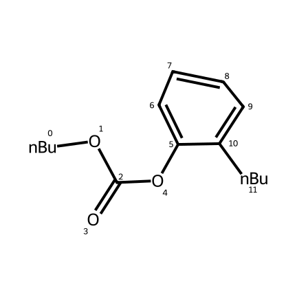 CCCCOC(=O)Oc1ccccc1CCCC